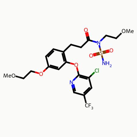 COCCOc1ccc(CCC(=O)N(CCOC)S(N)(=O)=O)c(Oc2ncc(C(F)(F)F)cc2Cl)c1